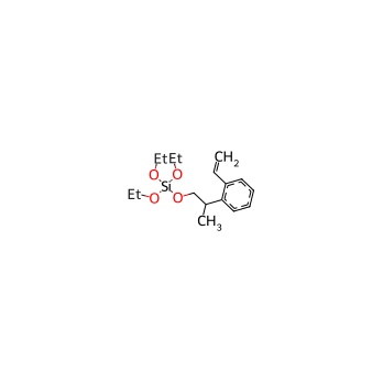 C=Cc1ccccc1C(C)CO[Si](OCC)(OCC)OCC